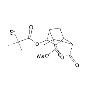 CCC(C)(C)C(=O)OC1C2OC(=O)C3C2CC1C3(C)C(=O)OC